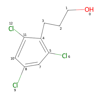 OCCCc1c(Cl)cc(Cl)cc1Cl